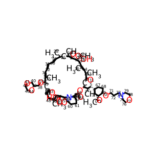 CO[C@@H]1C[C@H](C[C@@H](C)[C@@H]2CC(=O)[C@H](C)/C=C(\C)[C@@H](O)[C@@H](OC)C(=O)[C@H](C)C[C@H](C)/C=C/C=C/C=C(\C)C(OCC3COCCO3)C[C@@H]3CC[C@@H](C)[C@@](O)(O3)C(=O)C(=O)N3CCCC[C@H]3C(=O)O2)CC[C@H]1OCCCN1CCOCC1